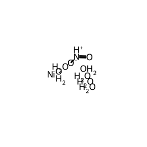 O.O.O.O.O.O.O=[NH+][O-].[Ni]